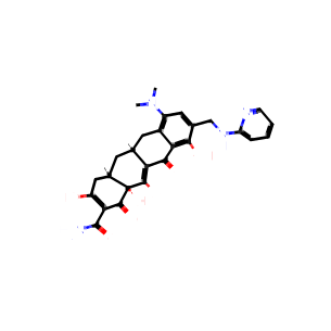 CN(C)c1cc(CNc2ccccn2)c(O)c2c1C[C@H]1C[C@H]3CC(O)=C(C(N)=O)C(=O)[C@@]3(O)C(O)=C1C2=O